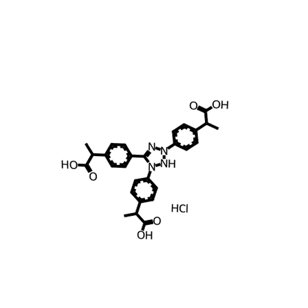 CC(C(=O)O)c1ccc(C2=NN(c3ccc(C(C)C(=O)O)cc3)NN2c2ccc(C(C)C(=O)O)cc2)cc1.Cl